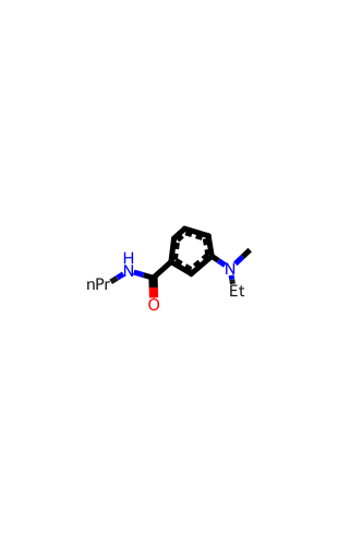 CCCNC(=O)c1cccc(N(C)CC)c1